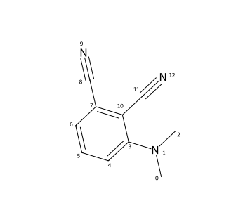 CN(C)c1cccc(C#N)c1C#N